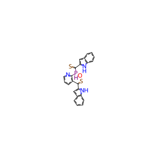 O=[PH](C(=S)c1cc2ccccc2[nH]1)c1ncccc1C(=S)c1cc2ccccc2[nH]1